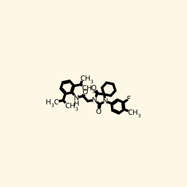 Cc1ccc(N2C(=O)N(CC(=O)Nc3c(C(C)C)cccc3C(C)C)C(=O)C23CCCCC3)cc1F